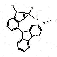 C[Si]1(Cl)C2=C1[CH]([Ti+2])c1cccc(C3c4ccccc4-c4ccccc43)c12.[Cl-].[Cl-]